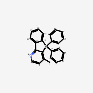 Cc1ccnc2c1[Si](c1ccccc1)(c1ccccc1)c1ccccc1-2